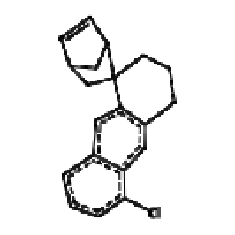 Clc1cccc2cc3c(cc12)CCCC31CC2C=CC1C2